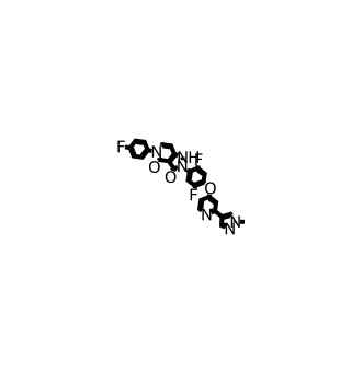 Cn1cc(-c2cc(Oc3cc(F)c(-n4[nH]c5ccn(-c6ccc(F)cc6)c(=O)c5c4=O)cc3F)ccn2)cn1